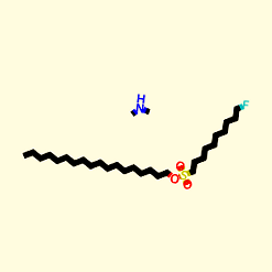 CCCCCCCCCCCCCCCCCCOS(=O)(=O)CCCCCCCCCCF.CNC